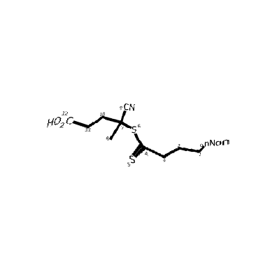 CCCCCCCCCCCCC(=S)SC(C)(C#N)CCC(=O)O